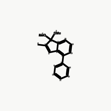 COC1(OC)C(C)=Cc2c(-c3ccccc3)cccc21